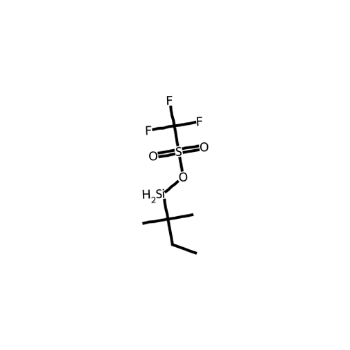 CCC(C)(C)[SiH2]OS(=O)(=O)C(F)(F)F